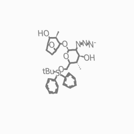 C[C@@H]1C(CO[Si](c2ccccc2)(c2ccccc2)C(C)(C)C)O[C@@H](OC2C3CCC(O3)[C@@H](O)[C@H]2C)C(N=[N+]=[N-])[C@H]1O